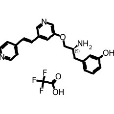 N[C@H](COc1cncc(C=Cc2ccncc2)c1)Cc1cccc(O)c1.O=C(O)C(F)(F)F